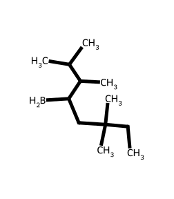 BC(CC(C)(C)CC)C(C)C(C)C